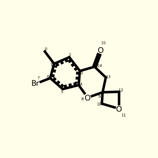 Cc1cc2c(cc1Br)OC1(COC1)CC2=O